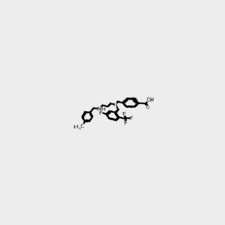 Cc1ccc(CNCCCN(Cc2ccc(C(=O)O)cc2)Cc2cc(F)ccc2C(F)(F)F)cc1